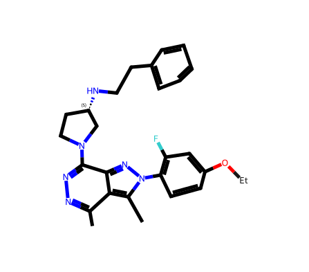 CCOc1ccc(-n2nc3c(N4CC[C@H](NCCc5ccccc5)C4)nnc(C)c3c2C)c(F)c1